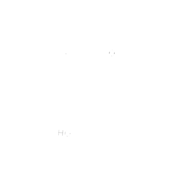 COc1cc(C)c(O)c(C)c1C(C)(C)C